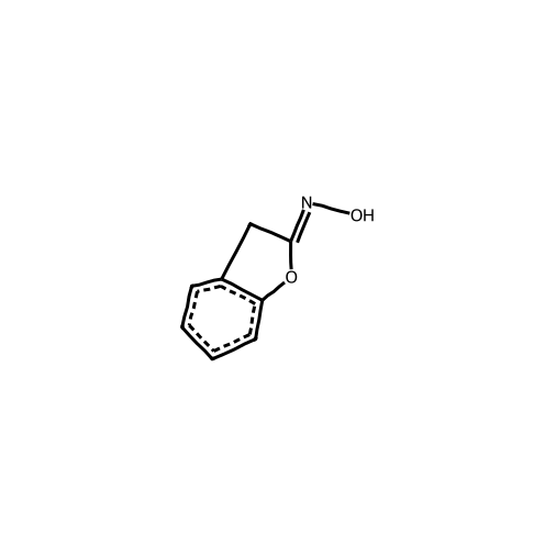 ON=C1Cc2ccccc2O1